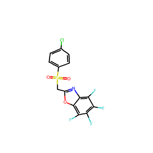 O=S(=O)(Cc1nc2c(F)c(F)c(F)c(F)c2o1)c1ccc(Cl)cc1